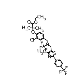 CCOC(=O)C(C)(C)Oc1ccc(CN(Cc2sc(-c3ccc(C(F)(F)F)cc3)nc2C)C(F)(F)F)cc1Cl